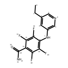 CCc1cncc(Nc2c(F)c(F)c(C(N)=O)c(F)c2F)c1